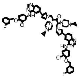 O=C(C(Cn1ccc(-c2ccc3ncnc(Nc4ccc(OCc5cccc(F)c5)c(Cl)c4)c3c2)c1)N1CCN(C2CC2)CC1)C(Cn1ccc(-c2ccc3ncnc(Nc4ccc(OCc5cccc(F)c5)c(Cl)c4)c3c2)c1)N1CCN(C2CC2)CC1